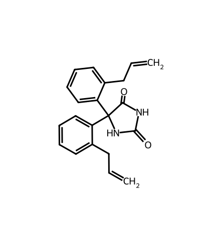 C=CCc1ccccc1C1(c2ccccc2CC=C)NC(=O)NC1=O